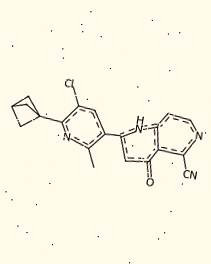 Cc1nc(C23CC(C2)C3)c(Cl)cc1-c1cc(=O)c2c(C#N)nccc2[nH]1